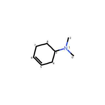 CN(C)C1CC=CCC1